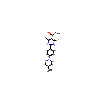 COC(=O)c1c(C)nc(-c2ccc(N3CCC(C(C)(C)C)CC3)cc2)nc1C